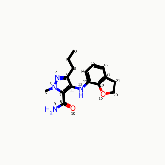 CCCc1nn(C)c(C(N)=O)c1Nc1cccc2c1OCC2